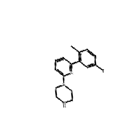 Cc1ccc(F)cc1-c1cccc(N2CCNCC2)n1